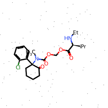 CCN[C@H](C(=O)OCOC(=O)N(C)[C@]1(c2ccccc2Cl)CCCCC1=O)C(C)C